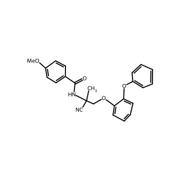 COc1ccc(C(=O)NC(C)(C#N)COc2ccccc2Oc2ccccc2)cc1